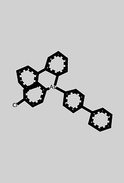 Clc1ccc([As](c2ccc(-c3ccccc3)cc2)c2ccccc2-c2ccccc2)cc1